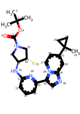 CC(C)(C)OC(=O)N1C[C@H](Nc2cccc(-c3cnc4cc(C5(C)CC5)ccn34)n2)[C@@H](F)C1